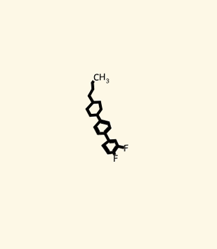 CCCCC1CCC(c2ccc(-c3ccc(F)c(F)c3)cc2)CC1